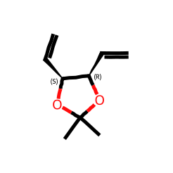 C=C[C@@H]1OC(C)(C)O[C@@H]1C=C